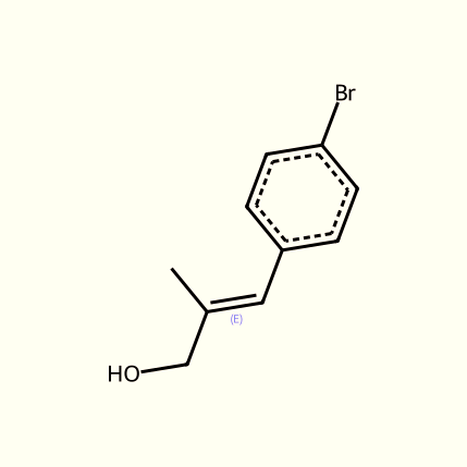 C/C(=C\c1ccc(Br)cc1)CO